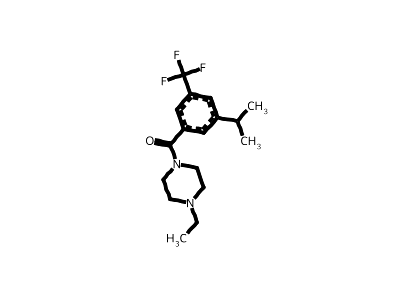 CCN1CCN(C(=O)c2cc(C(C)C)cc(C(F)(F)F)c2)CC1